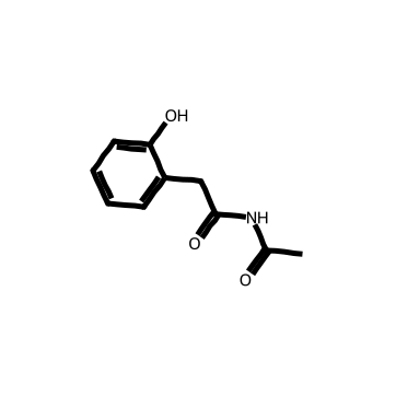 CC(=O)NC(=O)Cc1ccccc1O